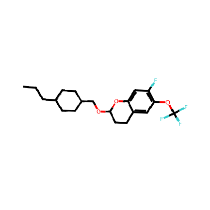 CCCC1CCC(COC2CCc3cc(OC(F)(F)F)c(F)cc3O2)CC1